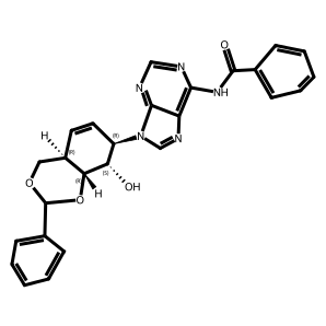 O=C(Nc1ncnc2c1ncn2[C@@H]1C=C[C@@H]2COC(c3ccccc3)O[C@H]2[C@H]1O)c1ccccc1